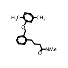 CNC(=O)CCCc1ccccc1COc1cc(C)ccc1C